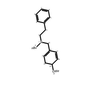 CCCCN(CCc1ccccc1)CC1=CCC(OC)C=C1